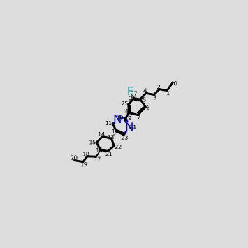 CCCCCc1ccc(-c2ncc([C@H]3CC[C@H](CCCC)CC3)cn2)cc1F